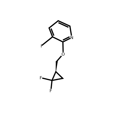 FC1(F)C[C@@H]1COc1ncccc1I